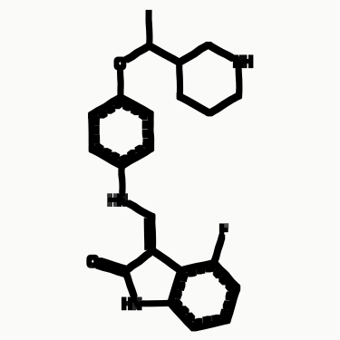 CC(Oc1ccc(NC=C2C(=O)Nc3cccc(F)c32)cc1)C1CCCNC1